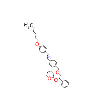 CCCCCCOc1ccc(/C=C/c2ccc(COCC(OC3CCCCO3)c3ccccc3)cc2)cc1